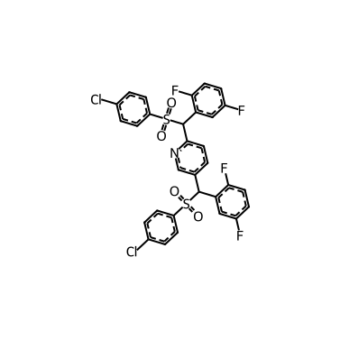 O=S(=O)(c1ccc(Cl)cc1)C(c1ccc(C(c2cc(F)ccc2F)S(=O)(=O)c2ccc(Cl)cc2)nc1)c1cc(F)ccc1F